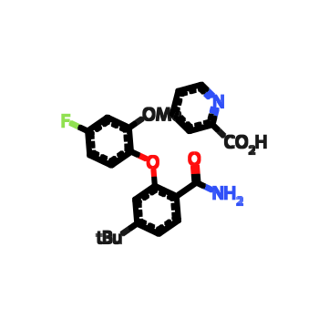 COc1cc(F)ccc1Oc1cc(C(C)(C)C)ccc1C(N)=O.O=C(O)c1ccccn1